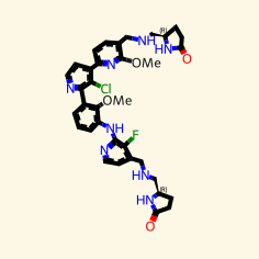 COc1nc(-c2ccnc(-c3cccc(Nc4nccc(CNC[C@H]5CCC(=O)N5)c4F)c3OC)c2Cl)ccc1CNC[C@H]1CCC(=O)N1